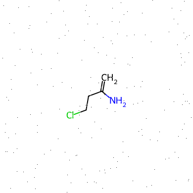 C=C(N)CCCl